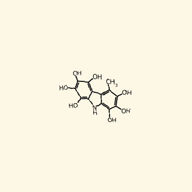 Cc1c(O)c(O)c(O)c2[nH]c3c(O)c(O)c(O)c(O)c3c12